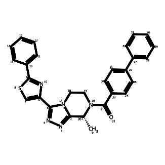 C[C@@H]1c2nnc(-c3csc(-c4ccccc4)n3)n2CCN1C(=O)c1ccc(-c2ccccc2)cc1